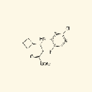 COC(=O)CC(Nc1nc(Cl)ncc1I)C1CCC1